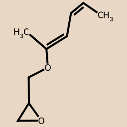 C/C=C\C=C(/C)OCC1CO1